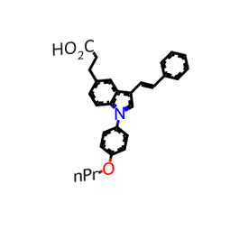 CCCOc1ccc(-n2cc(C=Cc3ccccc3)c3cc(CCC(=O)O)ccc32)cc1